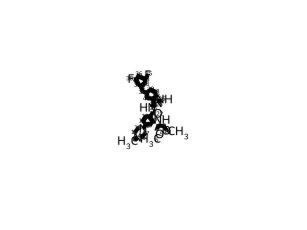 COCC(COC)Nc1cc(N2CCN(C)CC2)ccc1C(=O)Nc1n[nH]c2ccc(Cc3cc(F)cc(F)c3)cc12